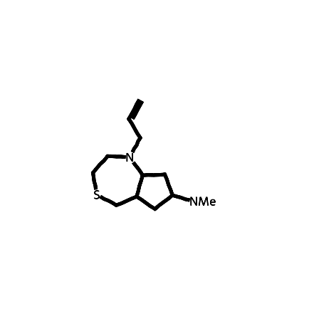 C=CCN1CCSCC2CC(NC)CC21